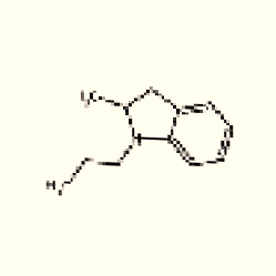 CCCN1c2ccccc2CC1C